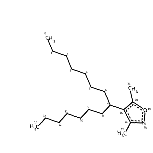 CCCCCCCC(CCCCCCC)c1c(C)noc1C